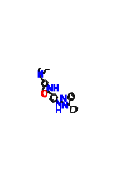 CCCN(CC)Cc1ccc(NC(=O)c2ccc(Nc3nc(-c4ccccc4)c4ccccc4n3)cc2)c(C)c1